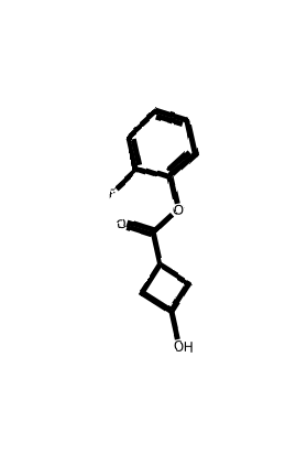 O=C(Oc1ccccc1F)C1CC(O)C1